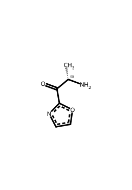 C[C@H](N)C(=O)c1ncco1